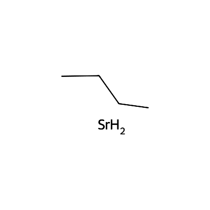 CCCC.[SrH2]